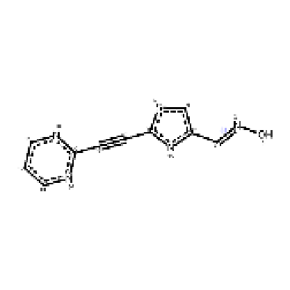 O/N=C/c1csc(C#Cc2ncccn2)n1